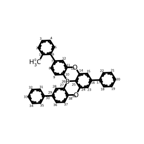 Cc1ccccc1-c1ccc2c(c1)Oc1cc(-c3ccccc3)cc3c1B2c1cc(-c2ccccc2)ccc1O3